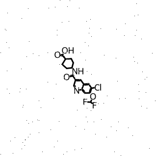 O=C(NC1CCC(C(=O)O)CC1)c1cnc2cc(OC(F)F)c(Cl)cc2c1